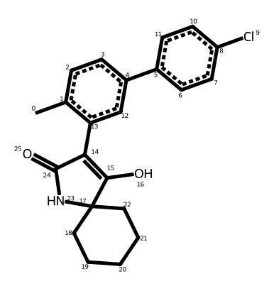 Cc1ccc(-c2ccc(Cl)cc2)cc1C1=C(O)C2(CCCCC2)NC1=O